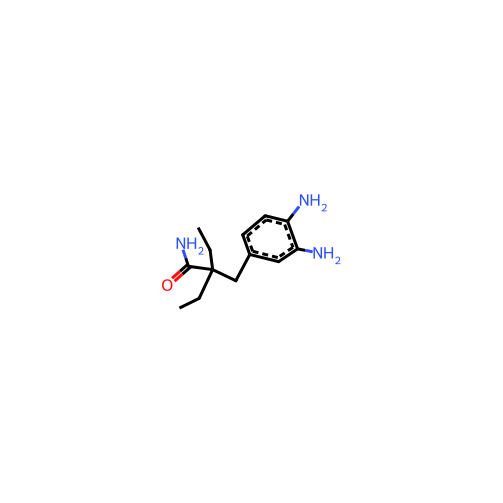 CCC(CC)(Cc1ccc(N)c(N)c1)C(N)=O